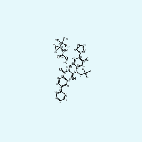 CC(C)(C)CNC(=N)N(C(=O)c1ccc(-c2ccccn2)cc1)[C@H](COC(=O)NC1(C(F)(F)F)CC1)c1ccc(Cl)c(-n2cncn2)c1